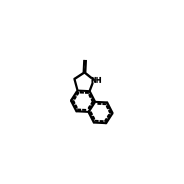 C=C1Cc2ccc3ccccc3c2N1